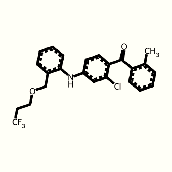 Cc1ccccc1C(=O)c1ccc(Nc2ccccc2COCCC(F)(F)F)cc1Cl